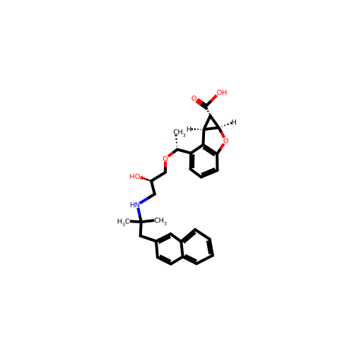 C[C@@H](OC[C@H](O)CNC(C)(C)Cc1ccc2ccccc2c1)c1cccc2c1[C@@H]1[C@H](O2)[C@H]1C(=O)O